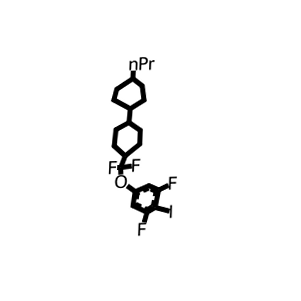 CCCC1CCC(C2CCC(C(F)(F)Oc3cc(F)c(I)c(F)c3)CC2)CC1